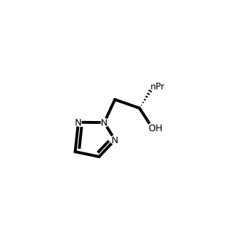 CCC[C@H](O)Cn1nccn1